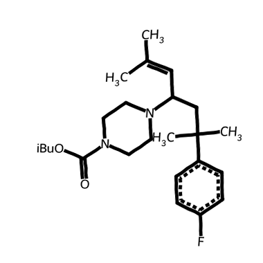 CC(C)=CC(CC(C)(C)c1ccc(F)cc1)N1CCN(C(=O)OCC(C)C)CC1